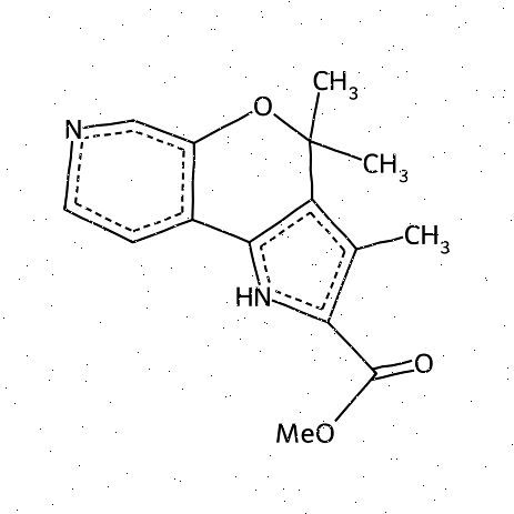 COC(=O)c1[nH]c2c(c1C)C(C)(C)Oc1cnccc1-2